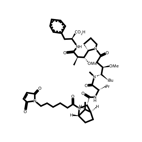 CC[C@H](C)[C@@H]([C@@H](CC(=O)N1CCC[C@H]1[C@H](OC)[C@@H](C)C(=O)N[C@@H](Cc1ccccc1)C(=O)O)OC)N(C)C(=O)[C@@H](NC(=O)[C@@H]1[C@H]2CC[C@@H]([C@H]2C)N1C(=O)CCCCCN1C(=O)C=CC1=O)C(C)C